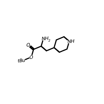 CC(C)(C)OC(=O)C(N)CC1CCNCC1